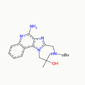 CCCCNCc1nc2c(N)nc3ccccc3c2n1CC(C)(C)O